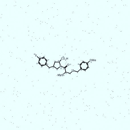 COc1ccc(CSCC(SC)C(=O)N2CC(Cc3ccc(F)cc3)C[C@H]2C(=O)O)cc1